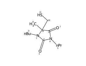 CCCCN1C(=O)N(CCC)C(=O)C1(C)CS